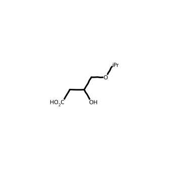 CC(C)OCC(O)CC(=O)O